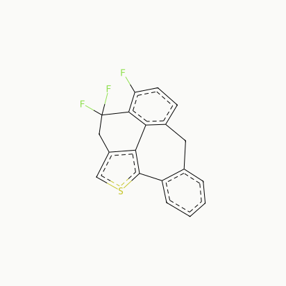 Fc1ccc2c3c1C(F)(F)Cc1csc(c1-3)-c1ccccc1C2